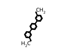 C=Cc1cccc(-c2ccc(-c3cccc(C=C)c3)cc2)c1